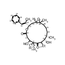 CCC1C(=O)C(C)(C)C(O)CC(=O)O[C@H](C(C)=Cc2ccccn2)C[C@@H]2O[C@]2(C)CCC[C@H](C)[C@@H]1O